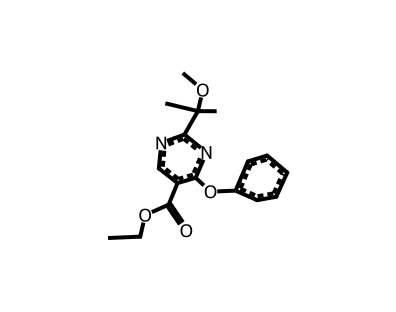 CCOC(=O)c1cnc(C(C)(C)OC)nc1Oc1ccccc1